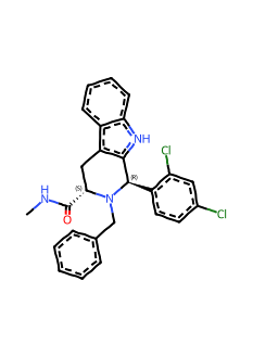 CNC(=O)[C@@H]1Cc2c([nH]c3ccccc23)[C@@H](c2ccc(Cl)cc2Cl)N1Cc1ccccc1